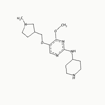 COc1nc(NC2CCNCC2)ncc1OCC1CCN(C)C1